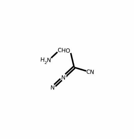 CC(C#N)=[N+]=[N-].NC=O